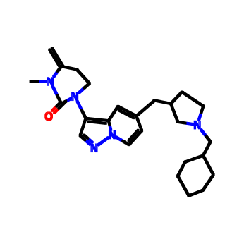 C=C1CCN(c2cnn3ccc(CC4CCN(CC5CCCCC5)C4)cc23)C(=O)N1C